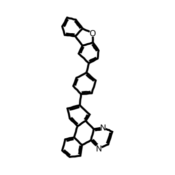 c1ccc2c(c1)oc1ccc(-c3ccc(-c4ccc5c6ccccc6c6nccnc6c5c4)cc3)cc12